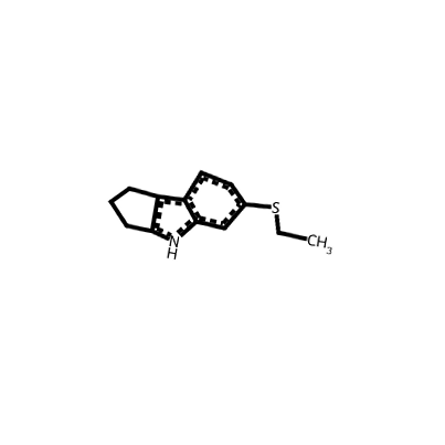 CCSc1ccc2c3c([nH]c2c1)CCC3